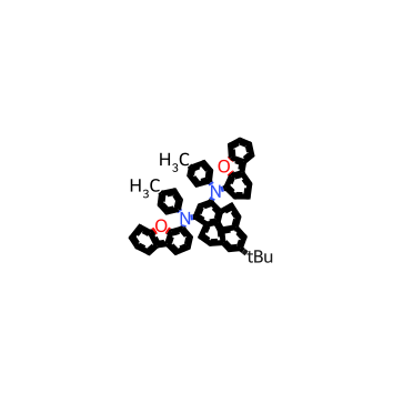 Cc1ccc(N(c2cc(N(c3ccc(C)cc3)c3cccc4c3oc3ccccc34)c3ccc4cc(C(C)(C)C)cc5ccc2c3c54)c2cccc3c2oc2ccccc23)cc1